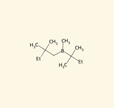 CCC(C)(C)CB(C)C(C)(C)CC